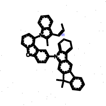 C/C=C\c1c(C)n(-c2cccc3oc4ccc(-n5c6c(c7cc8c(cc75)C(C)(C)c5ccccc5-8)=CCCC=6)cc4c23)c2ccccc12